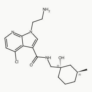 C[C@H]1CCC[C@@](O)(CNC(=O)c2cn(CCN)c3nccc(Cl)c23)C1